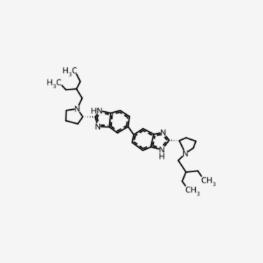 CCC(CC)CN1CCC[C@H]1c1nc2cc(-c3ccc4[nH]c([C@@H]5CCCN5CC(CC)CC)nc4c3)ccc2[nH]1